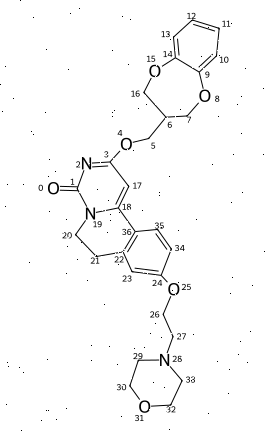 O=c1nc(OCC2COc3ccccc3OC2)cc2n1CCc1cc(OCCN3CCOCC3)ccc1-2